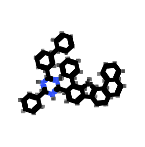 c1ccc(-c2cccc(-c3nc(-c4ccccc4)nc(-c4ccc5c([se]c6c5ccc5ccc7ccccc7c56)c4-c4ccccc4)n3)c2)cc1